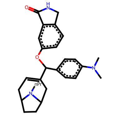 CCCN1C2CC=C(C(Oc3ccc4c(c3)C(=O)NC4)c3ccc(N(C)C)cc3)CC1CC2